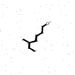 CCC(C)CCCC[O]